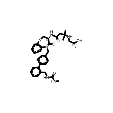 CNC(=O)NCc1ccccc1-c1ccc(CN2C(=O)[C@H](NC(=O)CC(C)(C)NC[C@@H](C)O)CSc3ccccc32)cc1